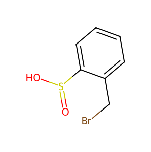 O=S(O)c1ccccc1CBr